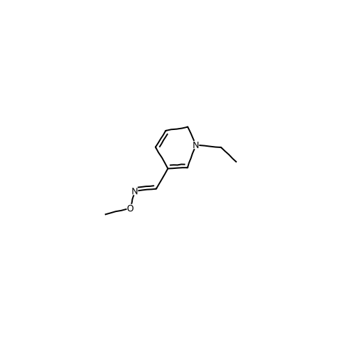 CCN1C=C(C=NOC)C=CC1